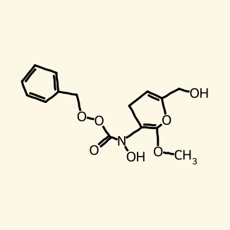 COC1=C(N(O)C(=O)OOCc2ccccc2)CC=C(CO)O1